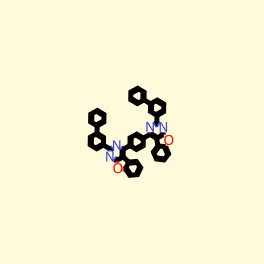 c1ccc(-c2cccc(-c3nc(-c4ccc(-c5nc(-c6cccc(-c7ccccc7)c6)nc6oc7ccccc7c56)cc4)c4c(n3)oc3ccccc34)c2)cc1